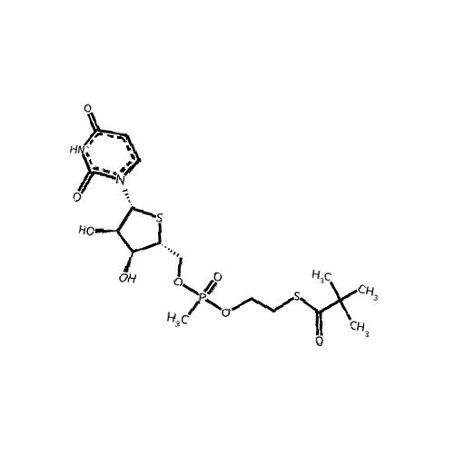 CC(C)(C)C(=O)SCCOP(C)(=O)OC[C@H]1S[C@@H](n2ccc(=O)[nH]c2=O)[C@H](O)[C@@H]1O